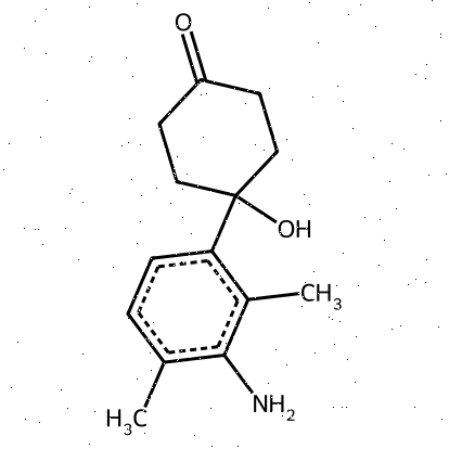 Cc1ccc(C2(O)CCC(=O)CC2)c(C)c1N